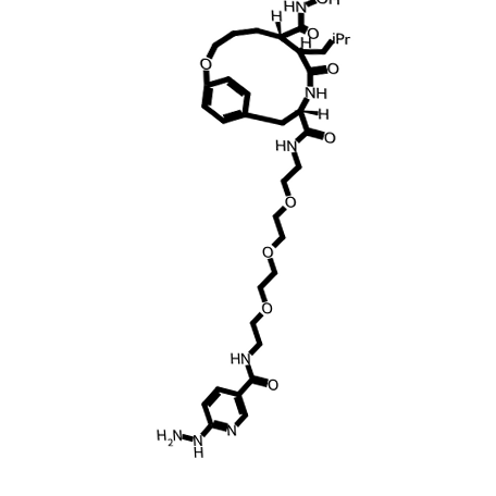 CC(C)C[C@H]1C(=O)N[C@H](C(=O)NCCOCCOCCOCCNC(=O)c2ccc(NN)nc2)Cc2ccc(cc2)OCCC[C@@H]1C(=O)NO